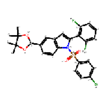 CC1(C)OB(c2ccc3c(c2)cc(-c2c(F)cccc2F)n3S(=O)(=O)c2ccc(Br)cc2)OC1(C)C